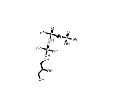 CCCP(=O)(O)CCC.CCCP(=O)(O)CCC.CCCP(=O)(O)CCC.OCC(O)CO